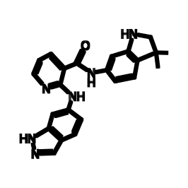 CC1(C)CNc2cc(NC(=O)c3cccnc3Nc3ccc4cn[nH]c4c3)ccc21